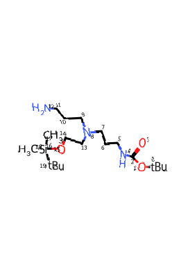 CC(C)(C)OC(=O)NCCCN(CCCN)CCO[Si](C)(C)C(C)(C)C